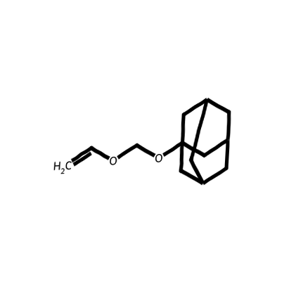 C=COCOC12CC3CC(CC(C3)C1)C2